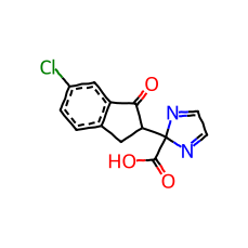 O=C1c2cc(Cl)ccc2CC1C1(C(=O)O)N=CC=N1